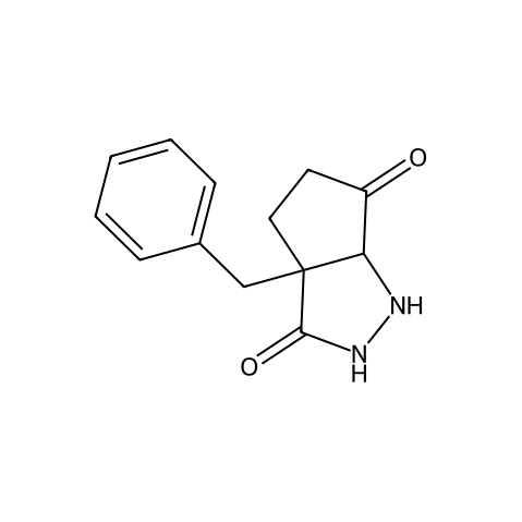 O=C1CCC2(Cc3ccccc3)C(=O)NNC12